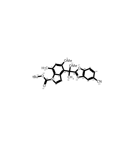 COc1cc(C)c2c(ccn2C(=O)OC(C)(C)C)c1C(C)(OC)c1nc2cc(C#N)ccc2o1